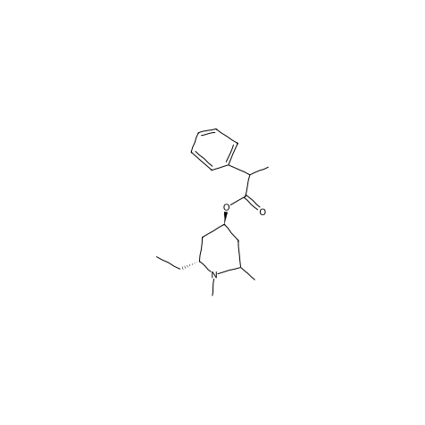 CC[C@@H]1C[C@@H](OC(=O)C(C)c2ccccc2)CC(C)N1C